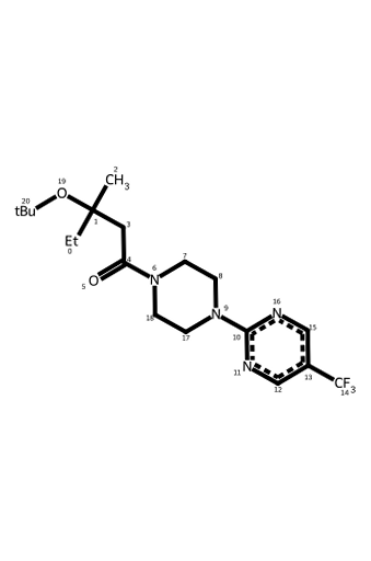 CCC(C)(CC(=O)N1CCN(c2ncc(C(F)(F)F)cn2)CC1)OC(C)(C)C